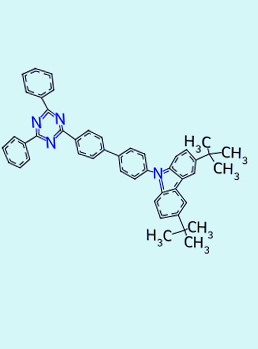 CC(C)(C)c1ccc2c(c1)c1cc(C(C)(C)C)ccc1n2-c1ccc(-c2ccc(-c3nc(-c4ccccc4)nc(-c4ccccc4)n3)cc2)cc1